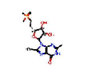 C=P(C)(C)CC[C@H]1OC(n2c(CCC)nc3c(=O)[nH]c(C)nc32)[C@H](O)[C@@H]1O